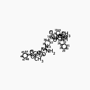 CC(C)(COC(=O)/N=C(\N)N1CCC(CNC(=O)[C@@H]2CCCN2C(=O)[C@@H](Cc2ccccc2)NS(C)(=O)=O)CC1)OC(=O)c1ccccc1